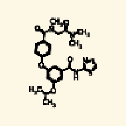 CC(C)Oc1cc(Oc2ccc(C(=O)N(C)CC(=O)N(C)C)cc2)cc(C(=O)Nc2nccs2)c1